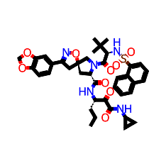 CCC[C@H](NC(=O)[C@@H]1C[C@]2(CC(c3ccc4c(c3)OCO4)=NO2)CN1C(=O)[C@@H](NS(=O)(=O)c1cccc2ccccc12)C(C)(C)C)C(=O)C(=O)NC1CC1